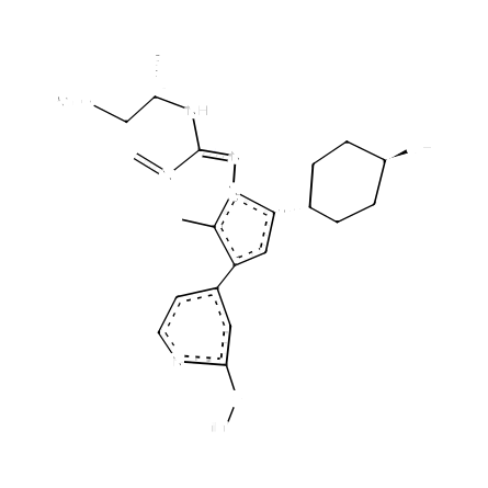 C=N/C(=N\n1c(C)c(-c2ccnc(OC(C)C)c2)cc1[C@H]1CC[C@H](O)CC1)N[C@@H](C)COC